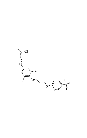 Cc1cc(OCC=C(Cl)Cl)cc(Cl)c1OCCCOc1ccc(C(F)(F)F)cc1